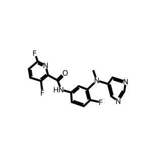 CN(c1cncnc1)c1cc(NC(=O)c2nc(F)ccc2F)ccc1F